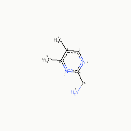 Cc1cnc(CN)nc1C